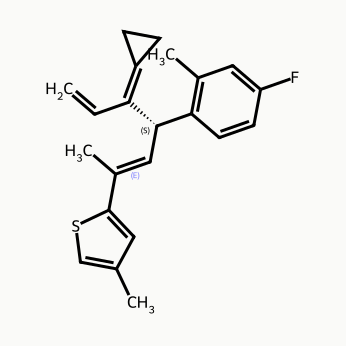 C=CC(=C1CC1)[C@@H](/C=C(\C)c1cc(C)cs1)c1ccc(F)cc1C